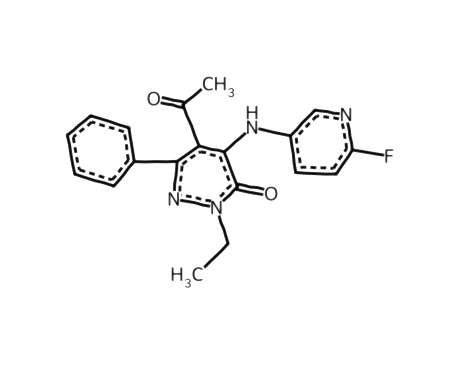 CCn1nc(-c2ccccc2)c(C(C)=O)c(Nc2ccc(F)nc2)c1=O